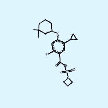 CC1(C)CCCC(Oc2cc(F)c(C(=O)NS(=O)(=O)N3CCC3)cc2C2CC2)C1